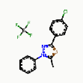 Cc1sc(-c2ccc(Cl)cc2)n[n+]1-c1ccccc1.F[B-](F)(F)F